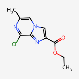 CCOC(=O)c1cn2cc(C)nc(Cl)c2n1